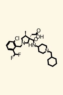 C[C@@H]1CN(Cc2c(Cl)cccc2C(F)F)C[C@]1(CC(=O)O)C(=O)NC1CCN(CC2CCCCC2)CC1